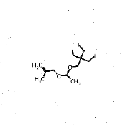 C=C(C)COC(C)OCC(CI)(CI)CI